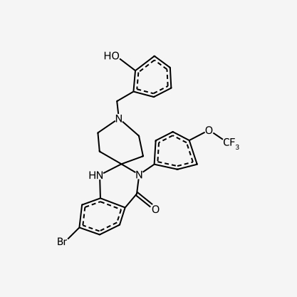 O=C1c2ccc(Br)cc2NC2(CCN(Cc3ccccc3O)CC2)N1c1ccc(OC(F)(F)F)cc1